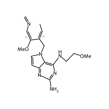 C=N/C=C(OC)\C(=C/C)Cn1ccc2nc(N)nc(NCCOC)c21